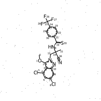 COc1c2c(Cl)cc(Cl)cc2nn1CC(C)(C#N)NC(=S)c1ccc(C(F)(F)F)cc1